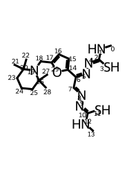 CN/C(S)=N/N=C(/C=N/N=C(\S)NC)c1ccc(CN2C(C)(C)CCCC2(C)C)o1